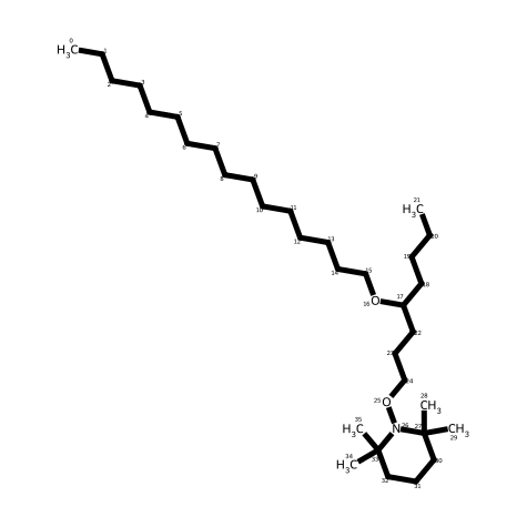 CCCCCCCCCCCCCCCCOC(CCCC)CCCON1C(C)(C)CCCC1(C)C